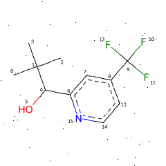 CC(C)(C)C(O)c1cc(C(F)(F)F)ccn1